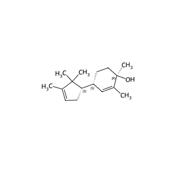 CC1=CC[C@@H]([C@H]2C=C(C)[C@](C)(O)CC2)C1(C)C